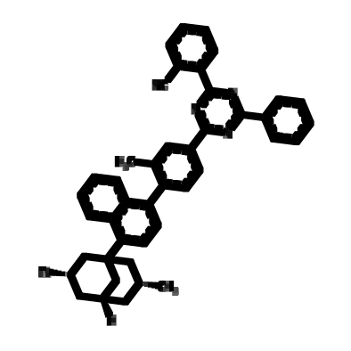 CC[C@H]1C[C@H]2C[C@@H](C)CC(c3ccc(-c4ccc(-c5nc(-c6ccccc6)nc(-c6ccccc6C#N)n5)cc4C)c4ccccc34)(C2)C1